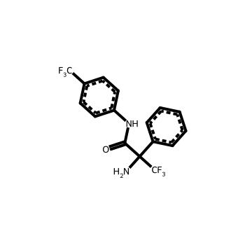 NC(C(=O)Nc1ccc(C(F)(F)F)cc1)(c1ccccc1)C(F)(F)F